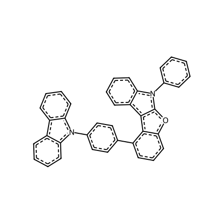 c1ccc(-n2c3ccccc3c3c4c(-c5ccc(-n6c7ccccc7c7ccccc76)cc5)cccc4oc32)cc1